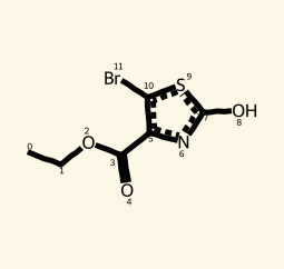 CCOC(=O)c1nc(O)sc1Br